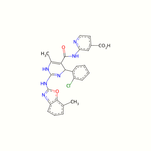 CC1=C(C(=O)Nc2cc(C(=O)O)ccn2)C(c2ccccc2Cl)N=C(Nc2nc3cccc(C)c3o2)N1